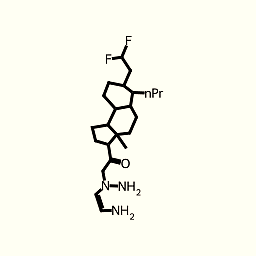 CCCC1C(CC(F)F)CCC2C1CCC1(C)C(C(=O)CN(N)/C=C\N)CCC21